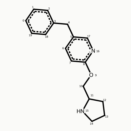 c1ccc(Cc2ccc(OCC3CCCN3)nc2)cc1